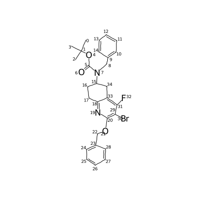 CC(C)(C)OC(=O)N(Cc1ccccc1)C1CCc2nc(OCc3ccccc3)c(Br)c(F)c2C1